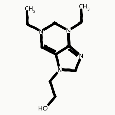 CCN1C=C2C(=NCN2CCO)N(CC)C1